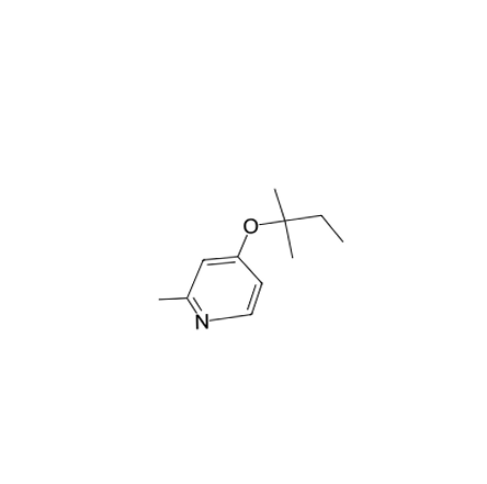 CCC(C)(C)Oc1ccnc(C)c1